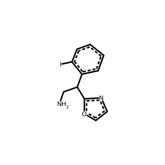 NCC(c1ncco1)c1ccccc1I